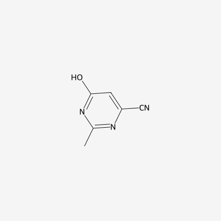 Cc1nc(O)cc(C#N)n1